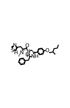 CCCC(C)COc1ccc([C@H](CNC(=O)[C@H](N)Cc2cscn2)NC(=O)Cc2ccccc2)cc1